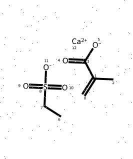 C=C(C)C(=O)[O-].CCS(=O)(=O)[O-].[Ca+2]